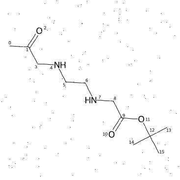 CC(=O)CNCCNCC(=O)OC(C)(C)C